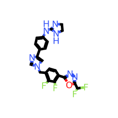 Fc1c(Cn2cnc(-c3ccc(NC4=NCCN4)cc3)c2)ccc(-c2nnc(C(F)F)o2)c1F